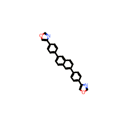 c1nc(-c2ccc(-c3ccc4cc(-c5ccc(-c6cocn6)cc5)ccc4c3)cc2)co1